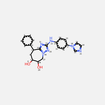 OC1CC(c2ccccc2)c2nc(Nc3ccc(-n4ccnc4)cc3)nn2CC1O